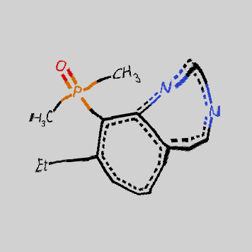 CCc1ccc2cncnc2c1P(C)(C)=O